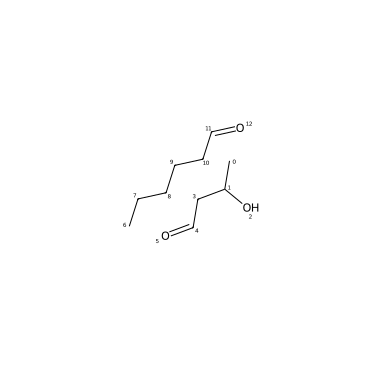 CC(O)CC=O.CCCCCC=O